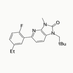 CCc1ccc(F)c(-c2ccc3c(n2)n(C)c(=O)n3CC(C)(C)C)c1